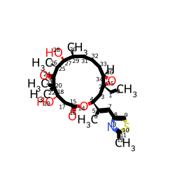 CC[C@@]12C[C@@H](C(C)=Cc3csc(C)n3)OC(=O)C[C@H](O)C(C)(C)C(=O)[C@H](C)[C@@H](O)[C@@H](C)CCC[C@H]1O2